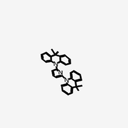 CC1(C)c2ccccc2N(c2cccc(N3c4ccccc4C(C)(C)c4ccccc43)n2)c2ccccc21